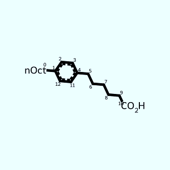 CCCCCCCCc1ccc(CCCCCC(=O)O)cc1